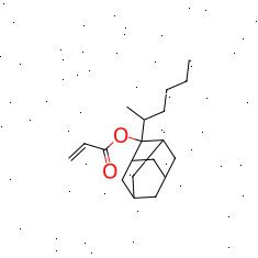 C=CC(=O)OC1(C(C)CCCC)C2CC3CC(C2)CC1C3